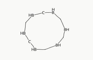 B1CBCBCBCBCBC1